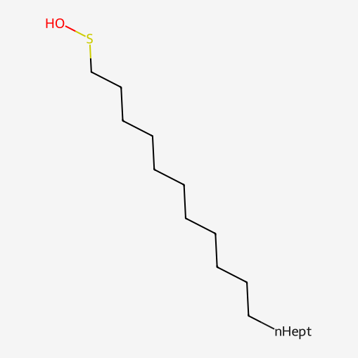 CCCCCCCCCCCCCCCCCCSO